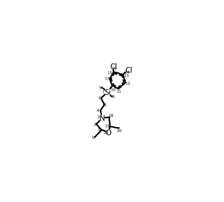 CC1CN(CCC[Si](C)(C)c2ccc(Cl)c(Cl)c2)CC(C)O1